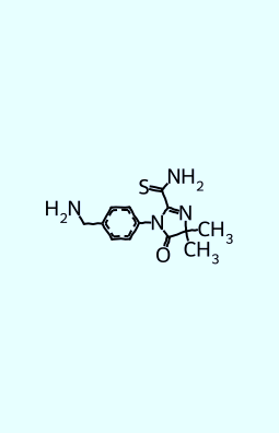 CC1(C)N=C(C(N)=S)N(c2ccc(CN)cc2)C1=O